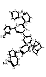 N#Cc1cccc(-c2cc(-c3ccc(C4(c5ccc(-c6cccc7c(C#N)cccc67)cc5)C5CC6CC(C5)CC4C6)cc3)nc(-c3cccc4oc5ccccc5c34)n2)c1